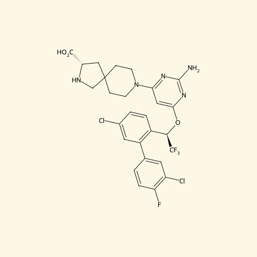 Nc1nc(O[C@H](c2ccc(Cl)cc2-c2ccc(F)c(Cl)c2)C(F)(F)F)cc(N2CCC3(CC2)CN[C@H](C(=O)O)C3)n1